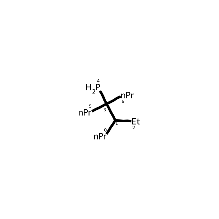 CCCC(CC)C(P)(CCC)CCC